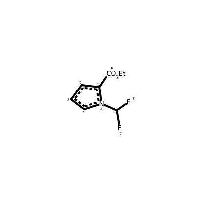 CCOC(=O)c1cccn1C(F)F